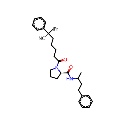 CC(CCc1ccccc1)NC(=O)[C@H]1CCCN1C(=O)CCCC[C@@](C#N)(c1ccccc1)C(C)C